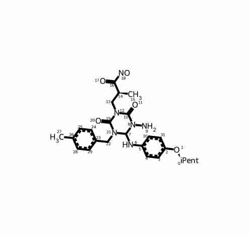 CCC[C@@H](C)Oc1ccc(NC2N(N)C(=O)N(C[C@H](C)C(=O)N=O)C(=O)N2Cc2ccc(C)cc2)cc1